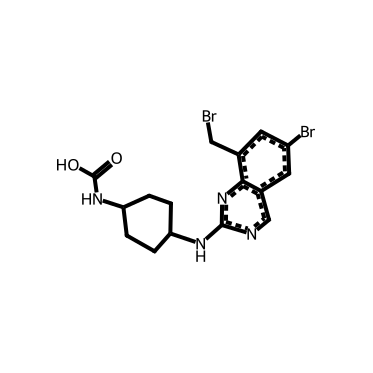 O=C(O)NC1CCC(Nc2ncc3cc(Br)cc(CBr)c3n2)CC1